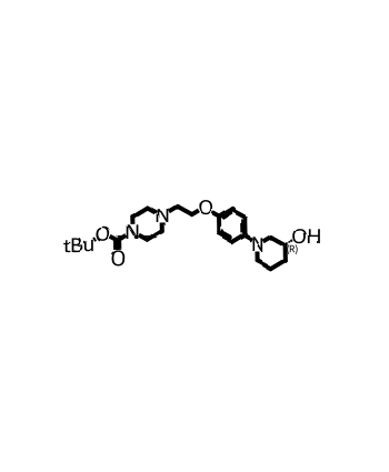 CC(C)(C)OC(=O)N1CCN(CCOc2ccc(N3CCC[C@@H](O)C3)cc2)CC1